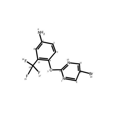 Nc1ccc(Oc2ncc(Br)cn2)c(C(F)(F)F)c1